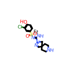 CCN/C(=N\S(=O)(=O)c1ccc(O)c(Cl)c1)N1CC2(C=N1)CCNCC2